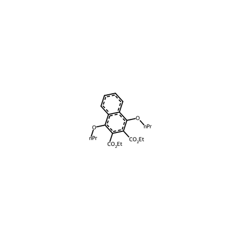 CCCOc1c(C(=O)OCC)c(C(=O)OCC)c(OCCC)c2ccccc12